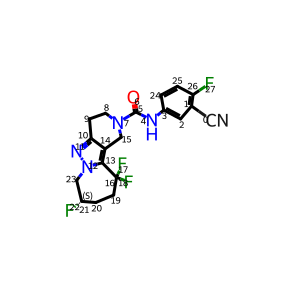 N#Cc1cc(NC(=O)N2CCc3nn4c(c3C2)C(F)(F)CC[C@H](F)C4)ccc1F